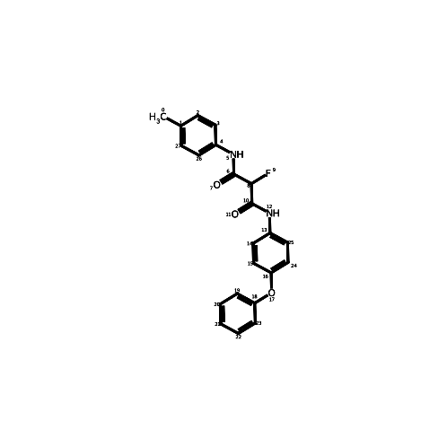 Cc1ccc(NC(=O)C(F)C(=O)Nc2ccc(Oc3ccccc3)cc2)cc1